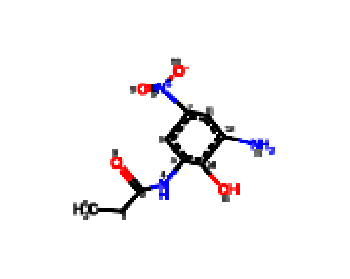 CCC(=O)Nc1cc([N+](=O)[O-])cc(N)c1O